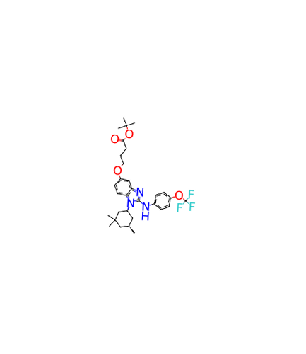 C[C@@H]1C[C@H](n2c(Nc3ccc(OC(F)(F)F)cc3)nc3cc(OCCCC(=O)OC(C)(C)C)ccc32)CC(C)(C)C1